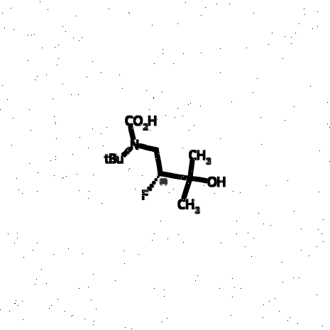 CC(C)(O)[C@H](F)CN(C(=O)O)C(C)(C)C